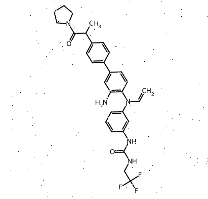 C=CN(c1cccc(NC(=O)NCC(F)(F)F)c1)c1ccc(-c2ccc(C(C)C(=O)N3CCCC3)cc2)cc1N